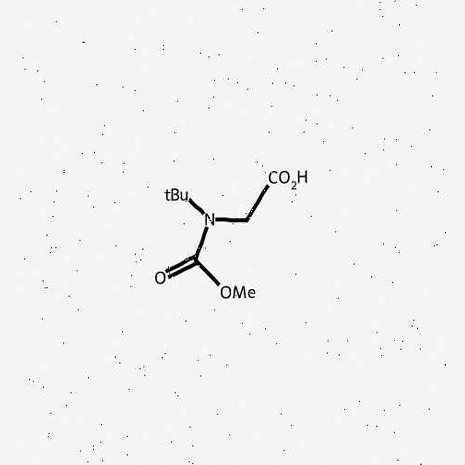 COC(=O)N(CC(=O)O)C(C)(C)C